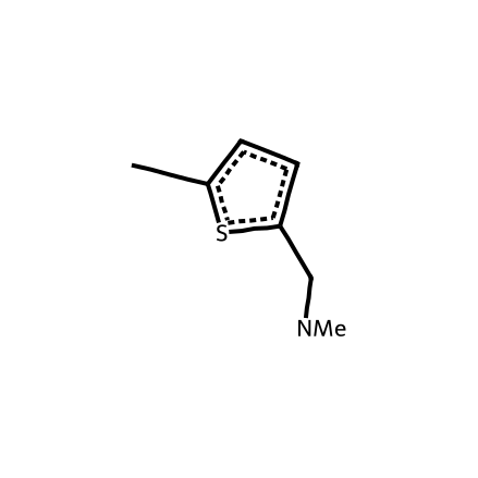 CNCc1ccc(C)s1